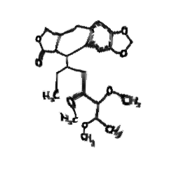 CCC(CC(OC)C(OC)C(C)OC)C1c2cc3c(cc2CC2COC(=O)C21)OCO3